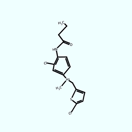 CCCC(=O)Nc1ccc([As](C)Cc2ccc(Cl)s2)cc1Cl